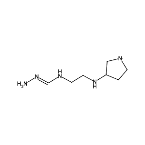 NN=CNCCNC1CC[N]C1